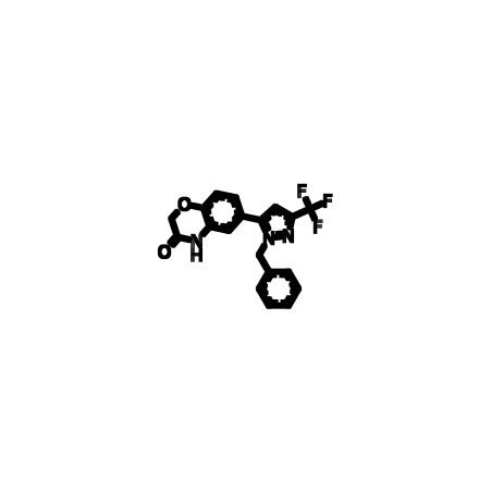 O=C1COc2ccc(-c3cc(C(F)(F)F)nn3Cc3ccccc3)cc2N1